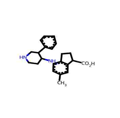 Cc1ccc2c(c1)C(C(=O)O)CC2.NC1CCNCC1c1ccccc1